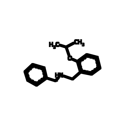 CC(C)Oc1ccccc1CN[CH]c1ccccc1